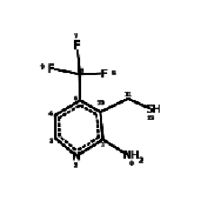 Nc1nccc(C(F)(F)F)c1CS